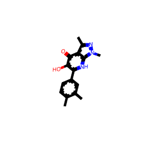 Cc1ccc(-c2[nH]c3c(c(C)nn3C)c(=O)c2O)cc1C